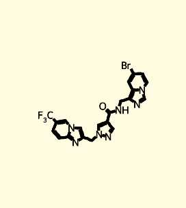 O=C(NCc1ncn2ccc(Br)cc12)c1cnn(Cc2cn3cc(C(F)(F)F)ccc3n2)c1